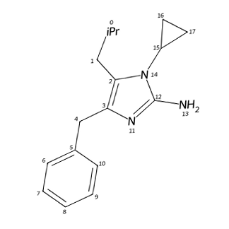 CC(C)Cc1c(Cc2ccccc2)nc(N)n1C1CC1